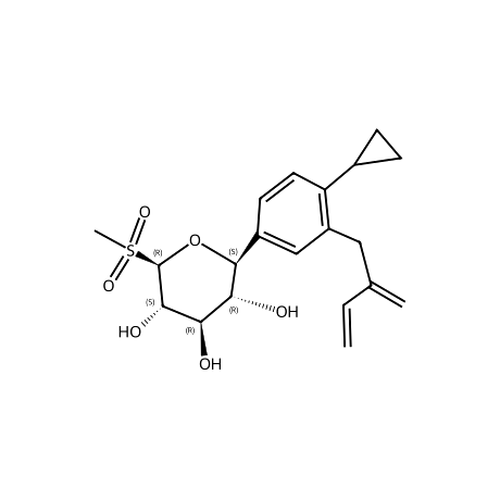 C=CC(=C)Cc1cc([C@@H]2O[C@H](S(C)(=O)=O)[C@@H](O)[C@H](O)[C@H]2O)ccc1C1CC1